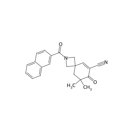 CC1(C)CC2(C=C(C#N)C1=O)CN(C(=O)c1ccc3ccccc3c1)C2